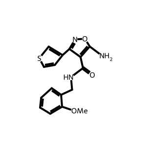 COc1ccccc1CNC(=O)c1c(-c2ccsc2)noc1N